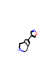 C1=C(c2cnoc2)CC2CCNCCC1C2